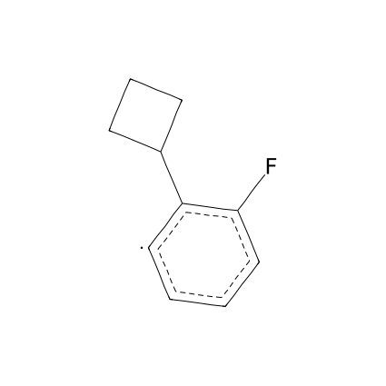 Fc1ccc[c]c1C1CCC1